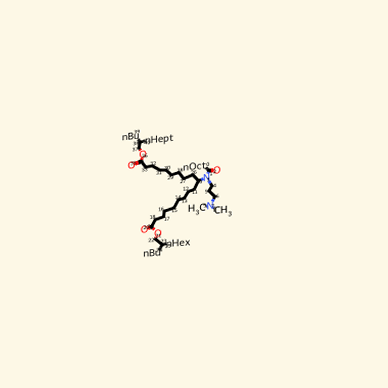 CCCCCCCCC(=O)N(CCCN(C)C)C(CCCCCCCCC(=O)OCC(CCCC)CCCCCC)CCCCCCCCC(=O)OCC(CCCC)CCCCCCC